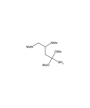 CNCC(CC([SiH3])(OC)OC)NC